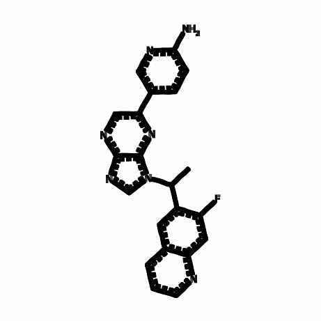 CC(c1cc2cccnc2cc1F)n1cnc2ncc(-c3ccc(N)nc3)nc21